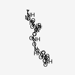 O=C1CCC(N2C(=O)c3cccc(NC4CCN(CCOCCNC(=O)c5ccc(-n6cc(NC(=O)c7coc(-c8ccnc(NCC9CC9)c8)n7)c(C(F)F)n6)cc5)CC4)c3C2=O)C(=O)N1